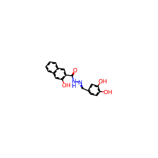 O=C(NN=Cc1ccc(O)c(O)c1)c1cc2ccccc2cc1O